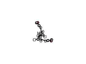 O=C(CCCOc1ccc(C23CC4CC(CC(C4)C2)C3)cc1)Nc1ccc(Cl)cc1C(=O)OC(=O)c1cc(Cl)ccc1NC(=O)CCCOc1ccc(C23CC4CC(CC(C4)C2)C3)cc1